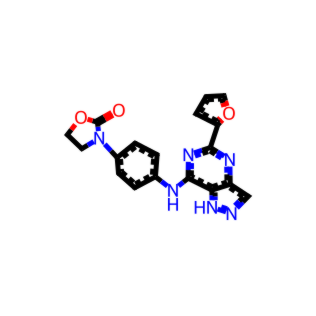 O=C1OCCN1c1ccc(Nc2nc(-c3ccco3)nc3cn[nH]c23)cc1